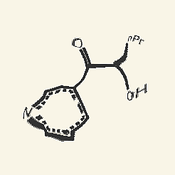 [CH2]CCC(O)C(=O)c1cccnc1